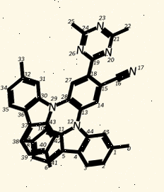 Cc1ccc2c3ccc(C)cc3n(-c3cc(C#N)c(-c4nc(C)nc(C)n4)cc3-n3c4cc(C)ccc4c4ccc(C)cc43)c2c1